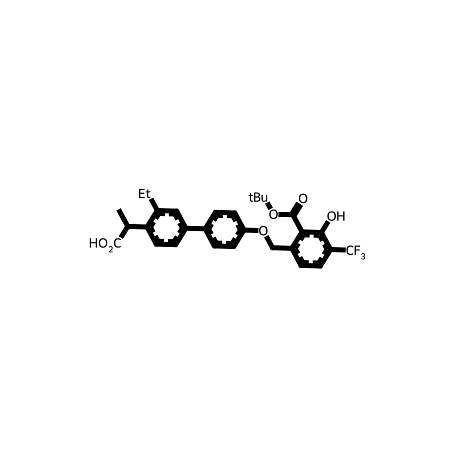 CCc1cc(-c2ccc(OCc3ccc(C(F)(F)F)c(O)c3C(=O)OC(C)(C)C)cc2)ccc1C(C)C(=O)O